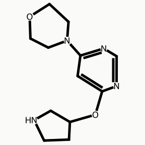 c1nc(OC2CCNC2)cc(N2CCOCC2)n1